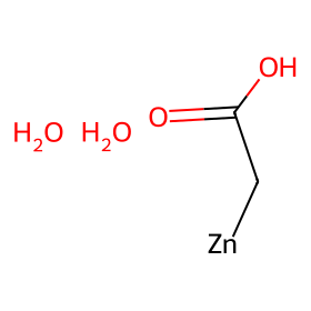 O.O.O=C(O)[CH2][Zn]